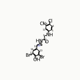 O=C(CNc1ccc(Cl)c(Cl)c1)N/N=C/c1cc(Br)c(O)c(Br)c1